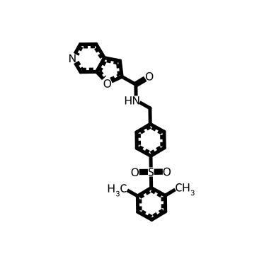 Cc1cccc(C)c1S(=O)(=O)c1ccc(CNC(=O)c2cc3ccncc3o2)cc1